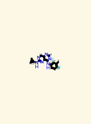 Cc1c(F)ccc(Nc2ncnc3cnc(NC4CC4)nc23)c1F